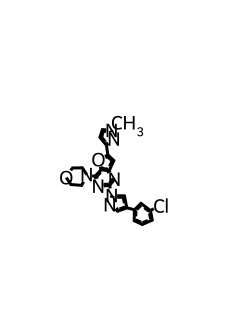 Cn1ccc(-c2cc3nc(-n4cc(-c5cccc(Cl)c5)cn4)nc(N4CCOCC4)c3o2)n1